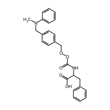 CN(Cc1ccc(COOC(=O)NC(Cc2ccccc2)C(=O)O)cc1)c1ccccc1